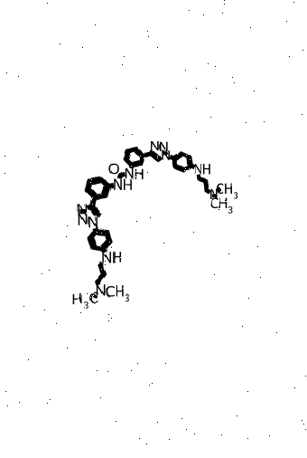 CN(C)CCCNc1ccc(-n2cc(-c3cccc(NC(=O)Nc4cccc(-c5cn(-c6ccc(NCCCN(C)C)cc6)nn5)c4)c3)nn2)cc1